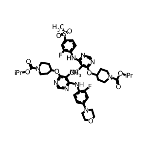 CC(C)OC(=O)N1CCC(Oc2ncnc(Nc3ccc(S(C)(=O)=O)cc3F)c2C#N)CC1.Cc1c(Nc2ccc(N3CCOCC3)cc2F)ncnc1OC1CCN(C(=O)OC(C)C)CC1